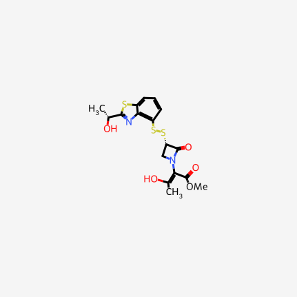 COC(=O)C(=C(C)O)N1C[C@H](SSc2cccc3sc([C@@H](C)O)nc23)C1=O